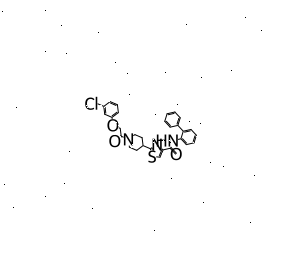 O=C(Nc1ccccc1-c1ccccc1)c1csc(C2CCN(C(=O)COc3cccc(Cl)c3)CC2)n1